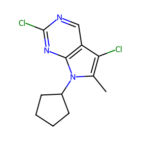 Cc1c(Cl)c2cnc(Cl)nc2n1C1CCCC1